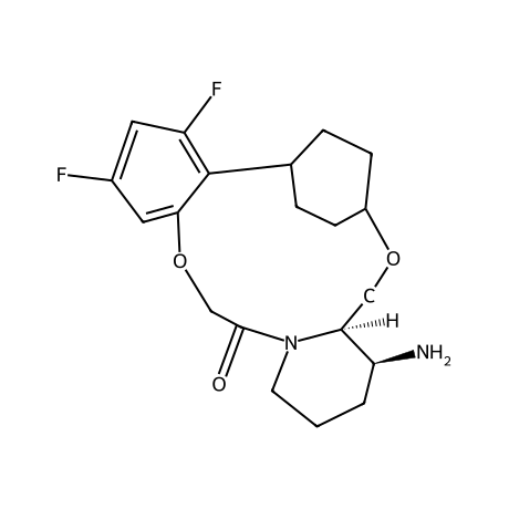 N[C@H]1CCCN2C(=O)COc3cc(F)cc(F)c3C3CCC(CC3)OC[C@@H]12